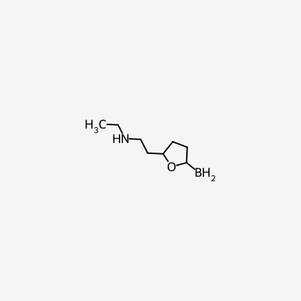 BC1CCC(CCNCC)O1